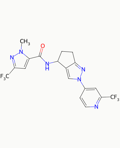 Cn1nc(C(F)(F)F)cc1C(=O)NC1CCc2nn(-c3ccnc(C(F)(F)F)c3)cc21